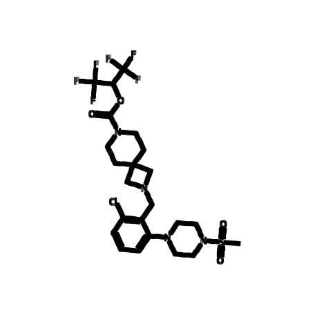 CS(=O)(=O)N1CCN(c2cccc(Cl)c2CN2CC3(CCN(C(=O)OC(C(F)(F)F)C(F)(F)F)CC3)C2)CC1